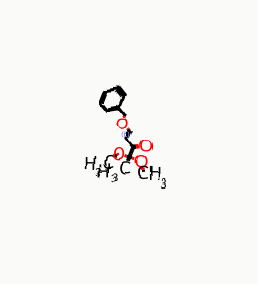 COC(C)(OC)C(=O)/C=C/OCc1ccccc1